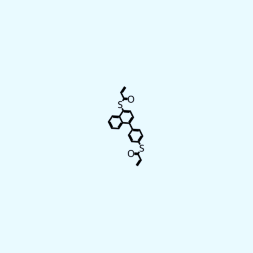 C=CC(=O)Sc1ccc(-c2ccc(SC(=O)C=C)c3ccccc23)cc1